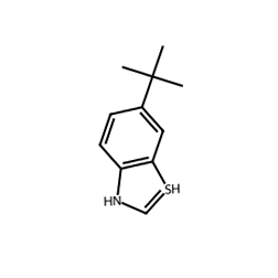 CC(C)(C)c1ccc2c(c1)[SH]=CN2